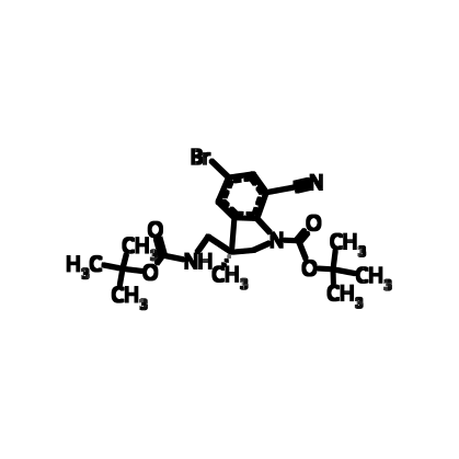 CC(C)(C)OC(=O)NC[C@]1(C)CN(C(=O)OC(C)(C)C)c2c(C#N)cc(Br)cc21